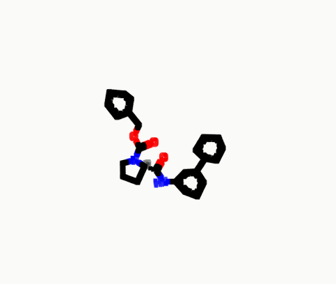 O=C(Nc1cccc(-c2ccccc2)c1)[C@@H]1CCCN1C(=O)OCc1ccccc1